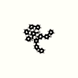 N#Cc1c2c3c(c(C#N)c1-n1c4ccc(-c5ccc6sc7ccccc7c6c5)cc4c4cc(-c5ccc6sc7ccccc7c6c5)ccc41)-n1c4ccccc4c4cccc(c41)B3c1ccccc1N2c1ccccc1